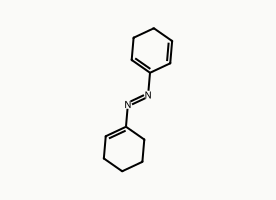 C1=CC(/N=N/C2=CCCCC2)=CCC1